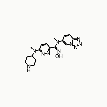 CN(C(=NO)c1ccc(N(C)C2CCNCC2)nn1)c1ccc2nnnn2c1